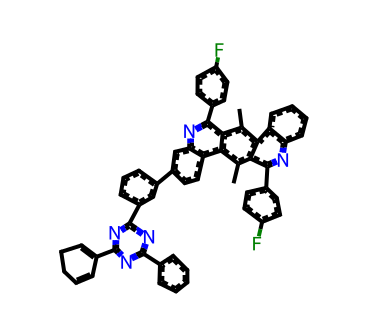 Cc1c2c(-c3ccc(F)cc3)nc3cc(-c4cccc(-c5nc(C6=CCCC=C6)nc(-c6ccccc6)n5)c4)ccc3c2c(C)c2c(-c3ccc(F)cc3)nc3ccccc3c12